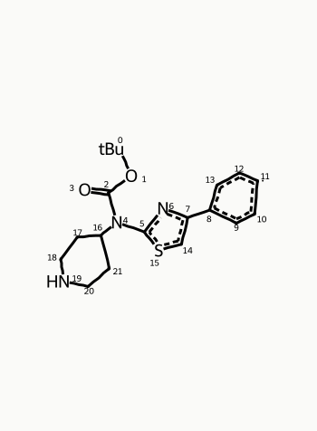 CC(C)(C)OC(=O)N(c1nc(-c2cc[c]cc2)cs1)C1CCNCC1